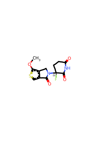 COc1scc2c1CN([C@]1(F)CCC(=O)NC1=O)C2=O